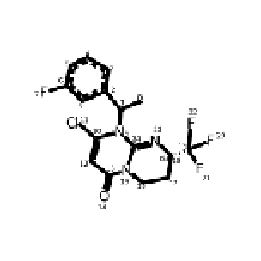 CC(c1cccc(F)c1)N1C(Cl)=CC(=O)N2CC[C@@H](C(F)(F)F)N=C21